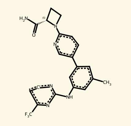 Cc1cc(Nc2nccc(C(F)(F)F)n2)cc(-c2ccc(N3CC[C@H]3C(N)=O)nc2)c1